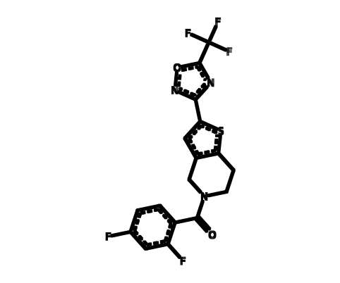 O=C(c1ccc(F)cc1F)N1CCc2sc(-c3noc(C(F)(F)F)n3)cc2C1